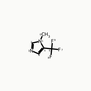 Cn1cn[c]c1C(F)(F)F